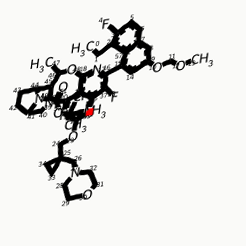 CCc1c(F)ccc2cc(OCOC)cc(-c3nc4c5c(nc(OCC6(CN7CCOCC7)CC6)nc5c3F)N3CC5CCC(C3C(C)O4)N5C(=O)OC(C)(C)C)c12